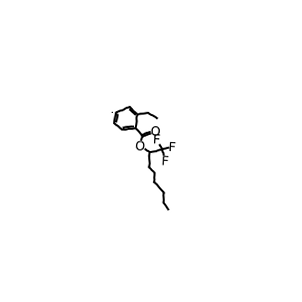 CCCCCCC(OC(=O)c1cc[c]cc1CC)C(F)(F)F